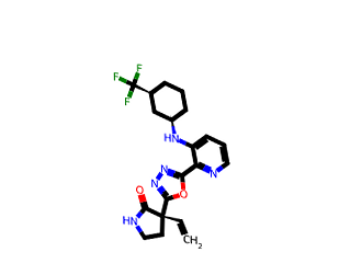 C=C[C@@]1(c2nnc(-c3ncccc3N[C@@H]3CCC[C@H](C(F)(F)F)C3)o2)CCNC1=O